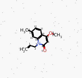 C=CCn1c(=O)cc(OC)c2ccc(C)cc21